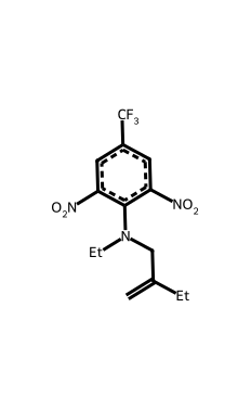 C=C(CC)CN(CC)c1c([N+](=O)[O-])cc(C(F)(F)F)cc1[N+](=O)[O-]